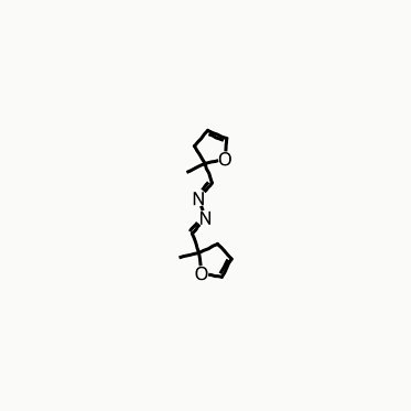 CC1(C=NN=CC2(C)CC=CO2)CC=CO1